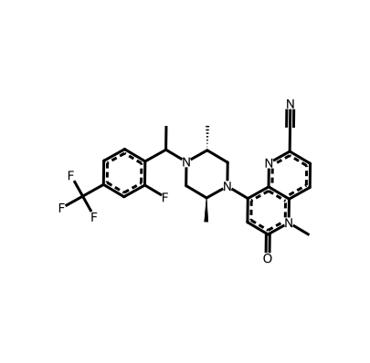 CC(c1ccc(C(F)(F)F)cc1F)N1C[C@H](C)N(c2cc(=O)n(C)c3ccc(C#N)nc23)C[C@H]1C